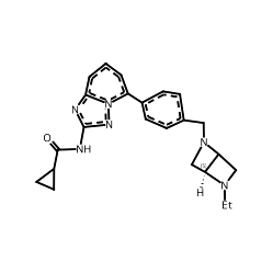 CCN1CC2[C@@H]1CN2Cc1ccc(-c2cccc3nc(NC(=O)C4CC4)nn23)cc1